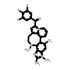 Cc1nc2c3c(c(C(F)(F)F)cc2n1C)-c1cccn2c(C(=O)c4cc(F)c(F)c(F)c4)cc(c12)CCN3C